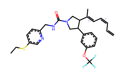 C=C/C=C\C=C(/C)C1CN(C(=O)NCc2ccc(SCC)cn2)CC1c1cccc(OC(F)(F)F)c1